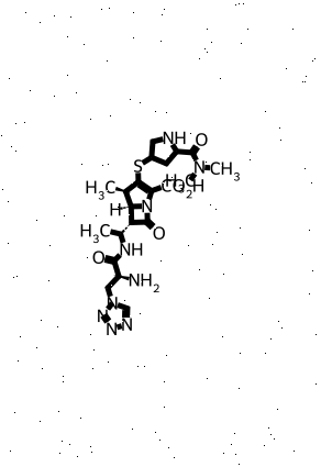 CC(NC(=O)[C@@H](N)Cn1cnnn1)[C@H]1C(=O)N2C(C(=O)O)=C(SC3CNC(C(=O)N(C)C)C3)[C@H](C)[C@H]12